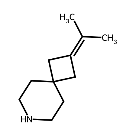 CC(C)=C1CC2(CCNCC2)C1